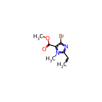 C=Cc1nc(Br)c(C(=O)OC)n1C